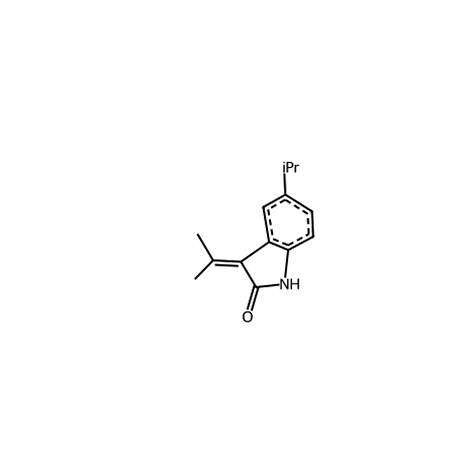 CC(C)=C1C(=O)Nc2ccc(C(C)C)cc21